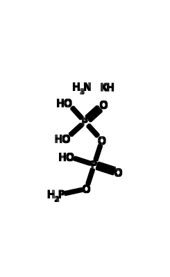 N.O=P(O)(O)OP(=O)(O)OP.[KH]